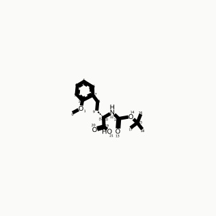 COc1ccccc1CC[C@H](NC(=O)OC(C)(C)C)C(=O)O